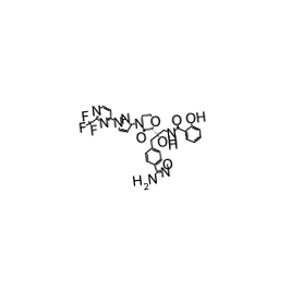 Nc1noc2cc(CC(O)(CNC(=O)c3ccccc3O)[C@H]3OCCN(c4ccn(-c5ccnc(C(F)(F)F)n5)n4)C3=O)ccc12